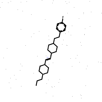 CCCC1CCC(/C=C/C2CCC(CCc3ccc(F)cc3)CC2)CC1